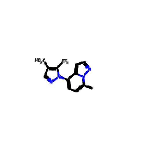 Cc1ccc(-n2ncc(C(=O)O)c2C(F)(F)F)c2ccnn12